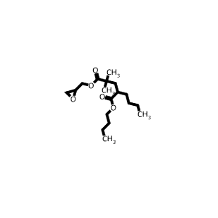 CCCCOC(=O)C(CCCC)CC(C)(C)C(=O)OCC1CO1